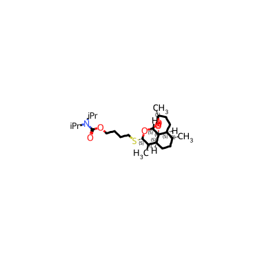 CC(C)N(C(=O)OCCCCS[C@@H]1O[C@@H]2O[C@]3(C)CC[C@H]4[C@H](C)CC[C@@H]([C@H]1C)[C@@]24OO3)C(C)C